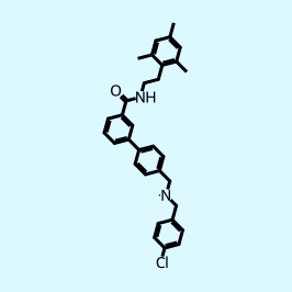 Cc1cc(C)c(CCNC(=O)c2cccc(-c3ccc(C[N]Cc4ccc(Cl)cc4)cc3)c2)c(C)c1